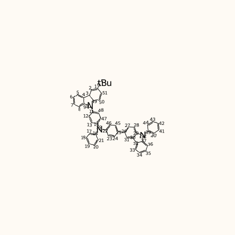 CC(C)(C)C1=CC2c3ccccc3N(c3ccc(N(c4ccccc4)c4ccc(-c5ccc6c(c5)c5ccccc5n6-c5ccccc5)cc4)cc3)C2C=C1